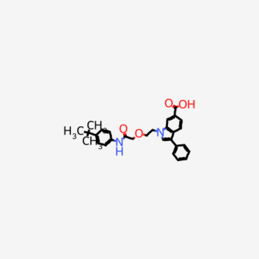 CC(C)(C)c1ccc(NC(=O)COCCn2cc(-c3ccccc3)c3ccc(C(=O)O)cc32)cc1